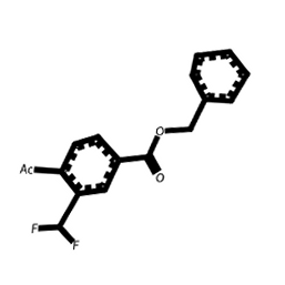 CC(=O)c1ccc(C(=O)OCc2ccccc2)cc1C(F)F